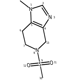 Cn1cnc2c1CCN(S(C)(=O)=O)C2